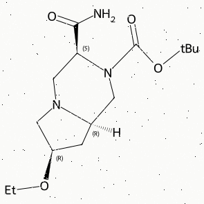 CCO[C@@H]1C[C@@H]2CN(C(=O)OC(C)(C)C)[C@H](C(N)=O)CN2C1